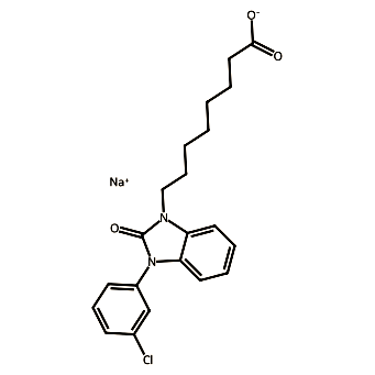 O=C([O-])CCCCCCCn1c(=O)n(-c2cccc(Cl)c2)c2ccccc21.[Na+]